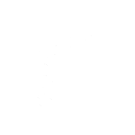 O=C(N1CC(c2ccc(C3(C(F)(F)F)CC3)cc2)C1)N1CC2(CC(c3ncn[nH]3)C2)C1